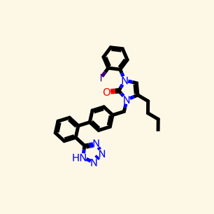 CCCCc1cn(-c2ccccc2I)c(=O)n1Cc1ccc(-c2ccccc2-c2nnn[nH]2)cc1